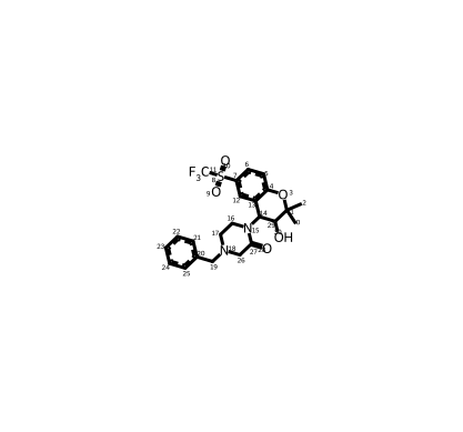 CC1(C)Oc2ccc(S(=O)(=O)C(F)(F)F)cc2C(N2CCN(Cc3ccccc3)CC2=O)C1O